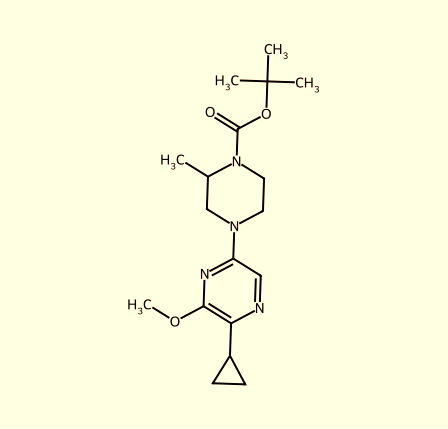 COc1nc(N2CCN(C(=O)OC(C)(C)C)C(C)C2)cnc1C1CC1